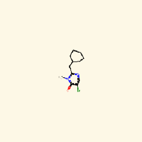 Cn1c(CC2CCCCC2)ncc(Br)c1=O